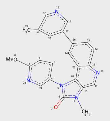 COc1ccc(-n2c(=O)n(C)c3cnc4ccc(-c5cncc(C(F)(F)F)c5)cc4c32)cn1